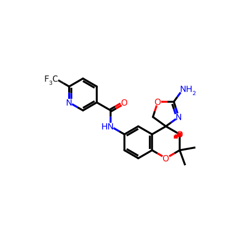 CC1(C)Oc2ccc(NC(=O)c3ccc(C(F)(F)F)nc3)cc2C2(COC(N)=N2)C12COC2